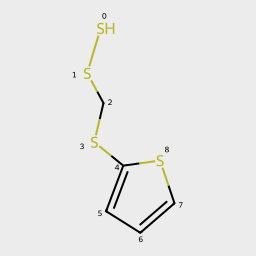 SSCSc1cccs1